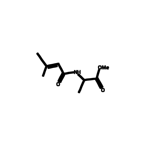 COC(=O)C(C)NC(=O)C=C(C)C